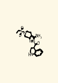 CCS(=O)(=O)N1CCc2c(nn(C(=O)C3CCNc4ccccc43)c2N)C1